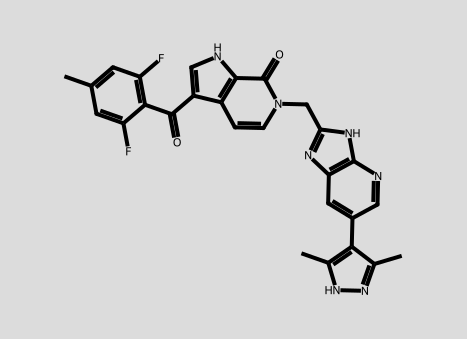 Cc1cc(F)c(C(=O)c2c[nH]c3c(=O)n(Cc4nc5cc(-c6c(C)n[nH]c6C)cnc5[nH]4)ccc23)c(F)c1